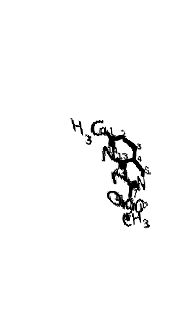 Cc1ccc2cnc(S(C)(=O)=O)nc2n1